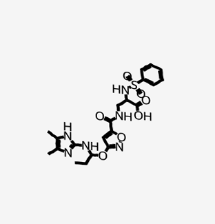 CCC(Nc1nc(C)c(C)[nH]1)Oc1cc(C(=O)NCC(NS(=O)(=O)c2ccccc2)C(=O)O)on1